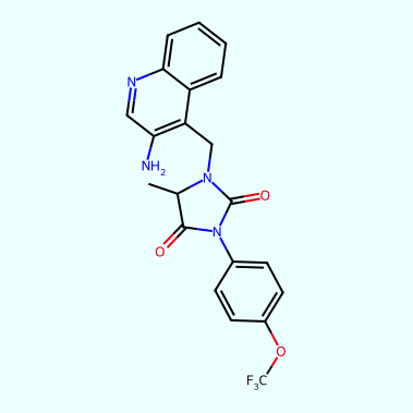 CC1C(=O)N(c2ccc(OC(F)(F)F)cc2)C(=O)N1Cc1c(N)cnc2ccccc12